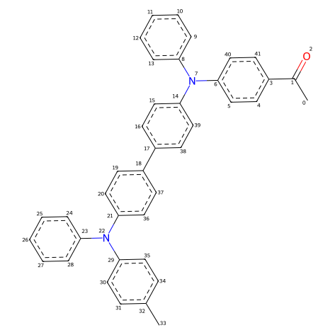 CC(=O)c1ccc(N(c2ccccc2)c2ccc(-c3ccc(N(c4ccccc4)c4ccc(C)cc4)cc3)cc2)cc1